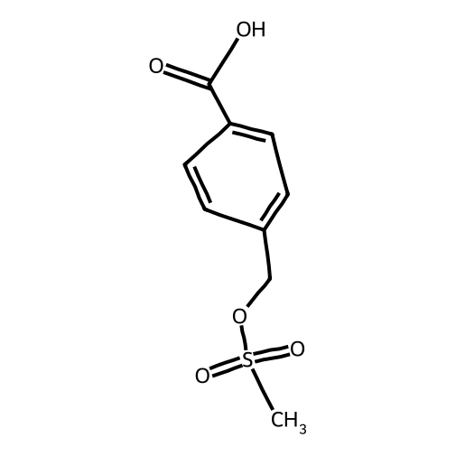 CS(=O)(=O)OCc1ccc(C(=O)O)cc1